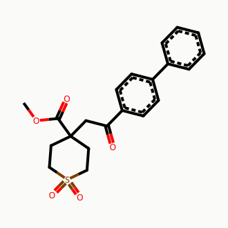 COC(=O)C1(CC(=O)c2ccc(-c3ccccc3)cc2)CCS(=O)(=O)CC1